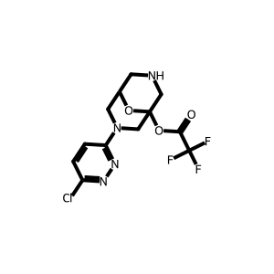 O=C(OC12CNCC(CN(c3ccc(Cl)nn3)C1)O2)C(F)(F)F